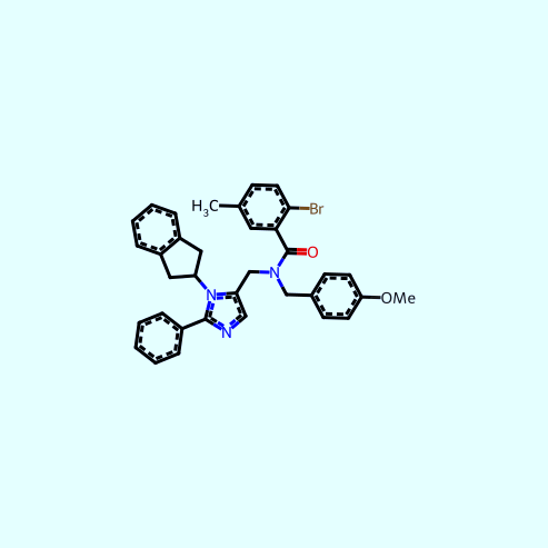 COc1ccc(CN(Cc2cnc(-c3ccccc3)n2C2Cc3ccccc3C2)C(=O)c2cc(C)ccc2Br)cc1